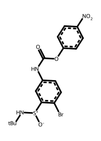 CC(C)(C)N[S+]([O-])c1cc(NC(=O)Oc2ccc([N+](=O)[O-])cc2)ccc1Br